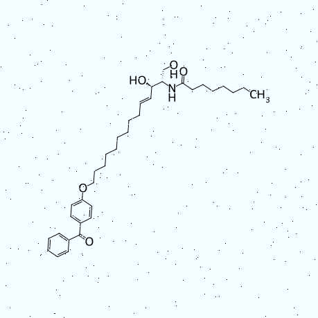 CCCCCCCC(=O)N[C@@H](CO)[C@H](O)/C=C/CCCCCCCCCOc1ccc(C(=O)c2ccccc2)cc1